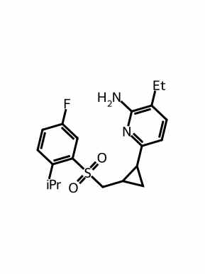 CCc1ccc(C2CC2CS(=O)(=O)c2cc(F)ccc2C(C)C)nc1N